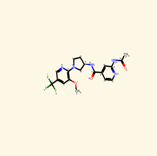 COc1cc(C(F)(F)F)cnc1N1CC[C@@H](NC(=O)c2ccnc(NC(C)=O)c2)C1